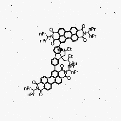 CCCCC(CC)CC1(CC(CC)CCCC)c2cc(-c3cc4c5ccc6c7c(ccc(c8ccc9c(c3C(=O)N(C(CCC)CCC)C9=O)c84)c75)C(=O)N(C(CCC)CCC)C6=O)ccc2-c2ccc(-c3cc4c5ccc6c7c(ccc(c8ccc9c(c3C(=O)N(C(CCC)CCC)C9=O)c84)c75)C(=O)N(C(CCC)CCC)C6=O)cc21